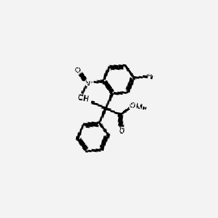 COC(=O)C(C)(c1ccccc1)c1cc(Br)ccc1[N+](=O)O